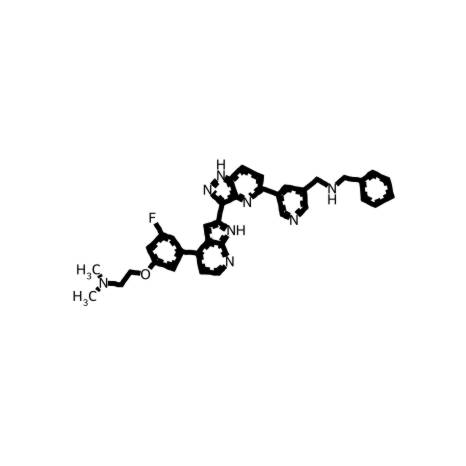 CN(C)CCOc1cc(F)cc(-c2ccnc3[nH]c(-c4n[nH]c5ccc(-c6cncc(CNCc7ccccc7)c6)nc45)cc23)c1